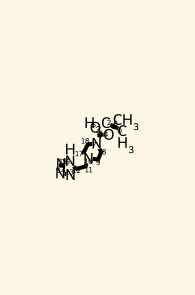 CC(C)(C)OC(=O)N1CCN(Cc2nnn[nH]2)CC1